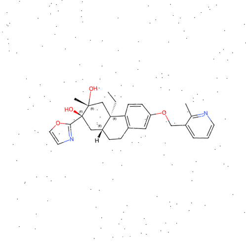 CC[C@@]12C[C@@](C)(O)[C@@](O)(c3ncco3)C[C@H]1CCc1cc(OCc3cccnc3C)ccc12